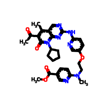 COC(=O)c1ccc(N(C)CCOc2ccc(Nc3ncc4c(C)c(C(C)=O)c(=O)n(C5CCCC5)c4n3)nc2)nc1